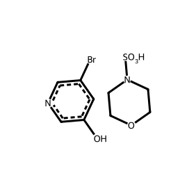 O=S(=O)(O)N1CCOCC1.Oc1cncc(Br)c1